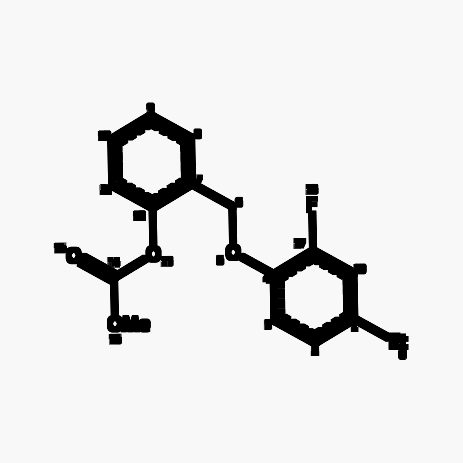 CCc1ccc(OCc2ccccc2OC(=O)OC)c(F)c1